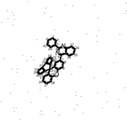 c1ccc(-c2nc(-c3ccc4c(c3)C3(c5ccccc5O4)c4ccccc4-c4ccccc43)c3ccccc3n2)cc1